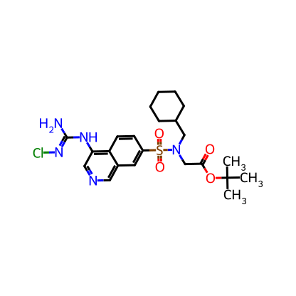 CC(C)(C)OC(=O)CN(CC1CCCCC1)S(=O)(=O)c1ccc2c(NC(N)=NCl)cncc2c1